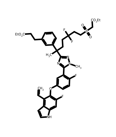 C=Cc1c(Oc2ccc(F)c(-c3nc(C(C)(CCC(F)(F)CCS(=O)(=O)CC(=O)OCC)c4cccc(CCC(=O)OCC)c4)nn3C)c2)c(F)cc2[nH]ccc12